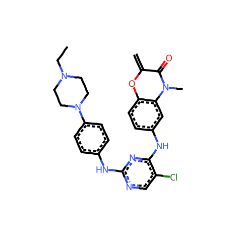 C=C1Oc2ccc(Nc3nc(Nc4ccc(N5CCN(CC)CC5)cc4)ncc3Cl)cc2N(C)C1=O